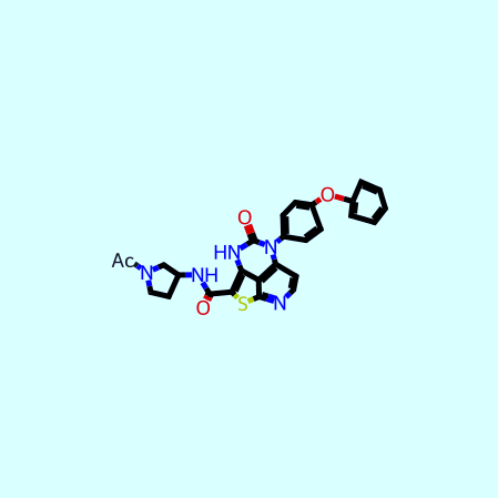 CC(=O)N1CCC(NC(=O)c2sc3nccc4c3c2NC(=O)N4c2ccc(Oc3ccccc3)cc2)C1